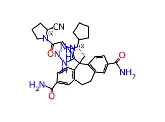 N#C[C@@H]1CCCN1C(=O)CN[C@@H](CC1(c2nnn[nH]2)c2ccc(C(N)=O)cc2CCc2cc(C(N)=O)ccc21)C1CCCC1